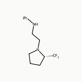 CC(C)NCCN1CCC[C@H]1C(F)(F)F